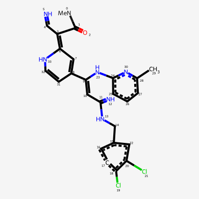 CNC(=O)/C(C=N)=C1C=C(/C(=C/C(=N)NCc2ccc(Cl)c(Cl)c2)Nc2cccc(C)n2)C=CN\1